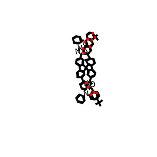 CC(C)(C)c1ccc(-c2nnc(-c3ccc4c(c3)C3(c5cc(-c6ccc(N(c7ccccc7)c7ccccc7)cc6)ccc5-4)c4cc(-c5ccc(N(c6ccccc6)C6CCCCC6)cc5)ccc4-c4ccc(-c5nnc(-c6ccc(C(C)(C)C)cc6)o5)cc43)o2)cc1